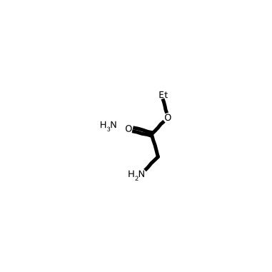 CCOC(=O)CN.N